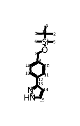 CC(C)(C)[Si](C)(C)OCc1ccc(-c2cc[nH]n2)cc1